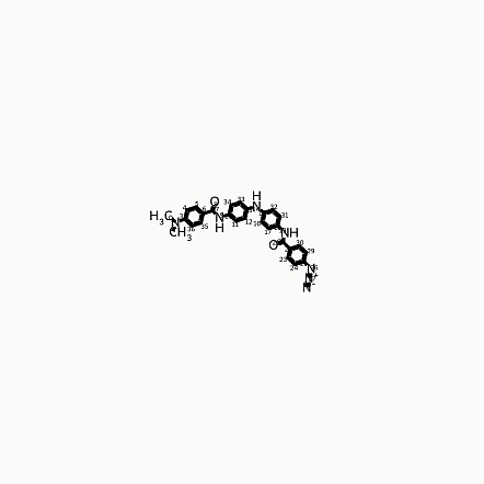 CN(C)c1ccc(C(=O)Nc2ccc(Nc3ccc(NC(=O)c4ccc(N=[N+]=[N-])cc4)cc3)cc2)cc1